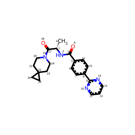 C[C@H](NC(=O)c1ccc(-c2ncccn2)cc1)C(=O)N1CCC2(CC1)CC2